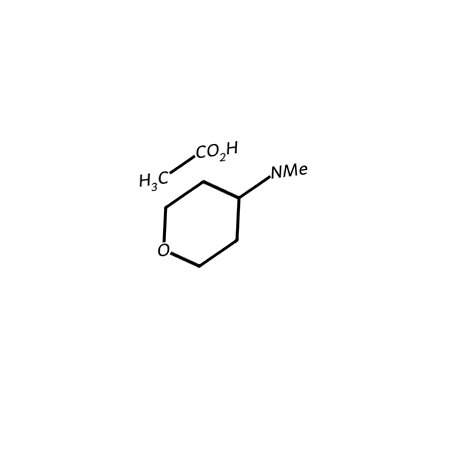 CC(=O)O.CNC1CCOCC1